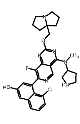 CN(c1nc(OCC23CCCN2CCC3)nc2c(F)c(-c3cc(O)cc4cccc(Cl)c34)ncc12)C1CCNC1